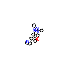 c1ccc(-c2nc(-c3ccccc3)nc(-c3cccc(C4(c5cccc(-c6cccc7cccnc67)c5)c5ccccc5Oc5ccccc54)c3)n2)cc1